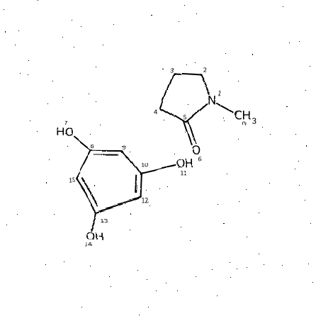 CN1CCCC1=O.Oc1cc(O)cc(O)c1